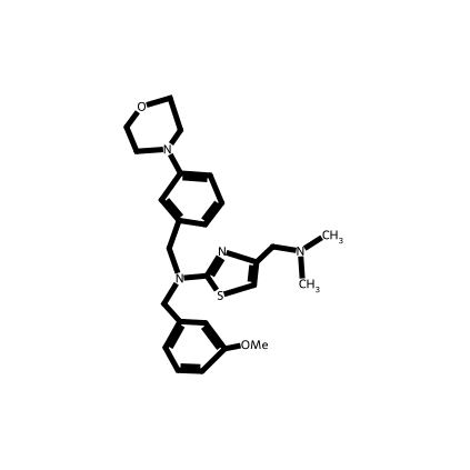 COc1cccc(CN(Cc2cccc(N3CCOCC3)c2)c2nc(CN(C)C)cs2)c1